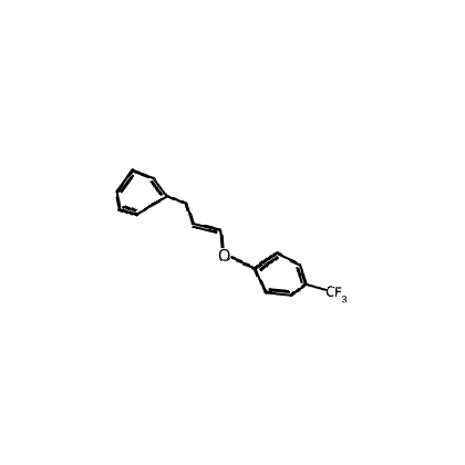 FC(F)(F)c1ccc(OC=CCc2ccccc2)cc1